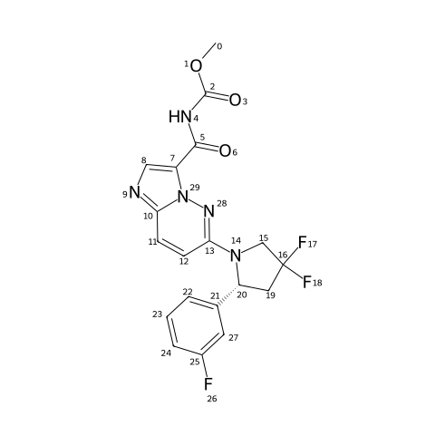 COC(=O)NC(=O)c1cnc2ccc(N3CC(F)(F)C[C@@H]3c3cccc(F)c3)nn12